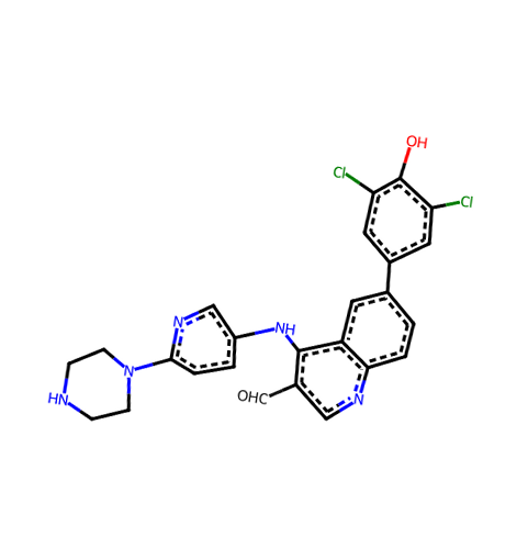 O=Cc1cnc2ccc(-c3cc(Cl)c(O)c(Cl)c3)cc2c1Nc1ccc(N2CCNCC2)nc1